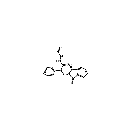 O=CNNC(=O)C(CN1C(=O)c2ccccc2C1=O)c1ccccc1